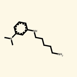 CN(C)c1cccc(NCCCCCN)c1